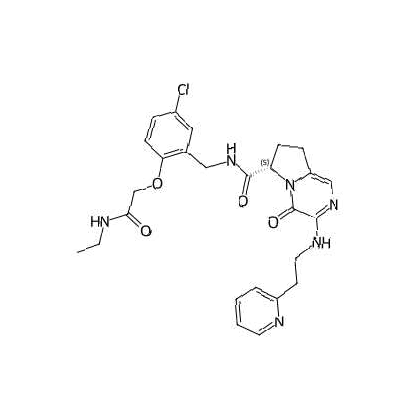 CCNC(=O)COc1ccc(Cl)cc1CNC(=O)[C@@H]1CCc2cnc(NCCc3ccccn3)c(=O)n21